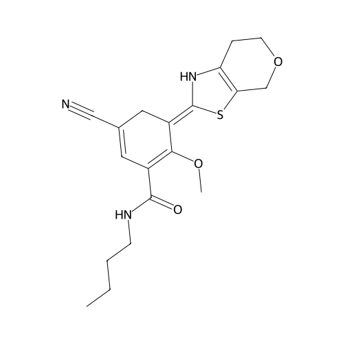 CCCCNC(=O)C1=C(OC)/C(=C2/NC3=C(COCC3)S2)CC(C#N)=C1